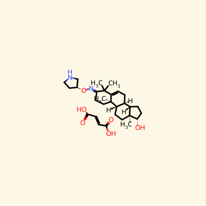 CC1(C)C2=CC[C@H]3[C@@H]4CC[C@H](O)[C@@]4(C)CC[C@@H]3[C@@]2(C)CC/C1=N\O[C@@H]1CCNC1.O=C(O)/C=C/C(=O)O